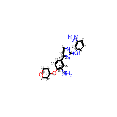 Nc1cccc(Nc2nccc(-c3ccc(OC4CCOCC4)c(N)c3)n2)c1